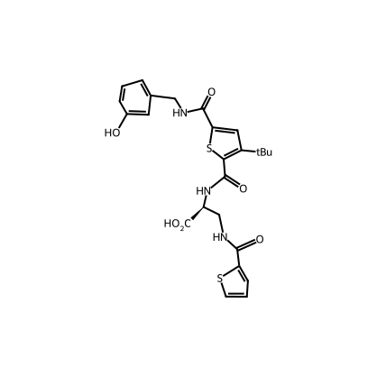 CC(C)(C)c1cc(C(=O)NCc2cccc(O)c2)sc1C(=O)N[C@@H](CNC(=O)c1cccs1)C(=O)O